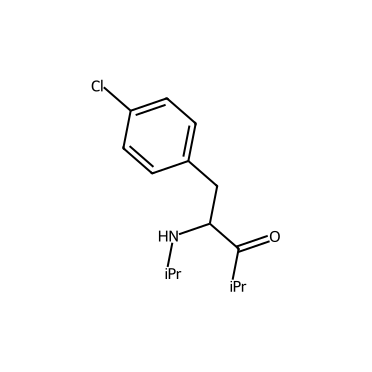 CC(C)NC(Cc1ccc(Cl)cc1)C(=O)C(C)C